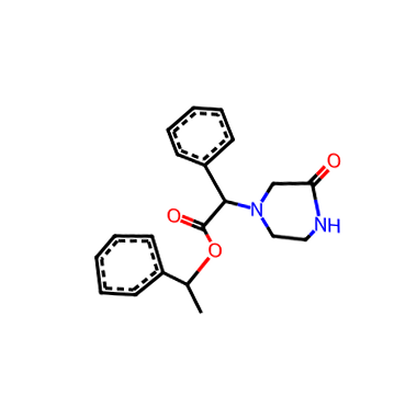 CC(OC(=O)C(c1ccccc1)N1CCNC(=O)C1)c1ccccc1